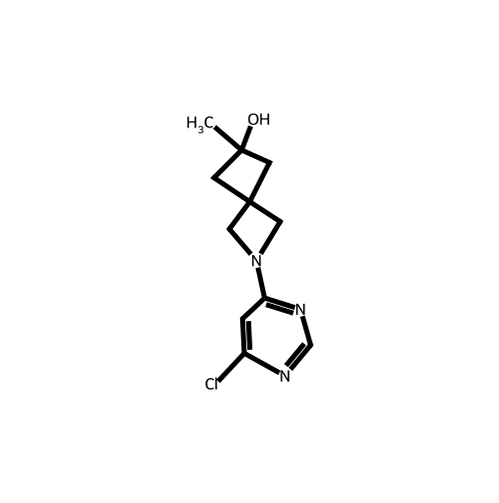 CC1(O)CC2(CN(c3cc(Cl)ncn3)C2)C1